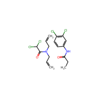 C=CCN(CC=C)C(=O)C(Cl)Cl.CCC(=O)Nc1ccc(Cl)c(Cl)c1